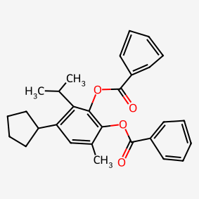 Cc1cc(C2CCCC2)c(C(C)C)c(OC(=O)c2ccccc2)c1OC(=O)c1ccccc1